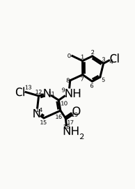 Cc1cc(Cl)ccc1CNc1nc(Cl)ncc1C(N)=O